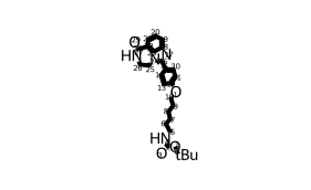 CC(C)(C)OC(=O)NCCCCCCOc1ccc(-c2nc3cccc4c3n2CCNC4=O)cc1